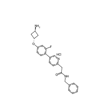 Cl.N[C@H]1C[C@H](Oc2ccc(-c3ccc(CC(=O)NCc4ccccc4)nc3)c(F)c2)C1